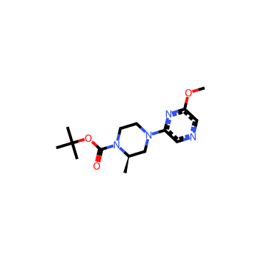 COc1cncc(N2CCN(C(=O)OC(C)(C)C)[C@H](C)C2)n1